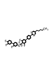 CCCCCc1cnc(-c2ccc(-c3cc(F)c(C(F)(F)Oc4ccc(-c5ccc(F)c(F)c5)c(F)c4)c(F)c3)cc2)nc1